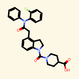 O=C(O)C1CCN(C(=O)N2CCc3c(CC(=O)N(c4ccccc4)c4ccccc4F)cccc32)CC1